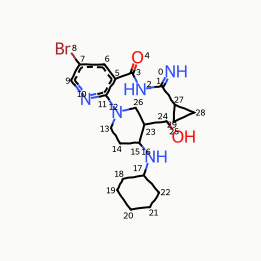 N=C(NC(=O)c1cc(Br)cnc1N1CCC(NC2CCCCC2)C(CO)C1)C1CC1